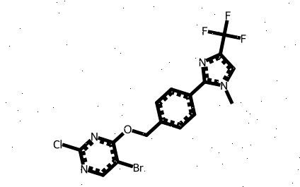 Cn1cc(C(F)(F)F)nc1-c1ccc(COc2nc(Cl)ncc2Br)cc1